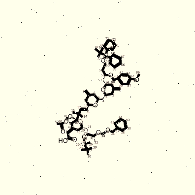 C=C1C[C@H](C[C@@H]2CC(=C)C[C@H](/C=C/C(C)(C)[C@]3(OC)O[C@H](C[C@@H](O[Si](C)(C)C(C)(C)C)[C@@H](C)OCOCc4ccccc4)C/C(=C\C(=O)O)[C@@H]3OC(C)=O)O2)O[C@H](C[C@H](CCO[Si](c2ccccc2)(c2ccccc2)C(C)(C)C)OCc2ccc(OC)cc2)C1